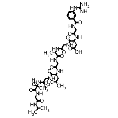 CC(C)C[C@H](NC(=O)CNC(=O)[C@H](C)NC(=O)CNC(=O)[C@H](CC(=O)O)NC(=O)CNC(=O)c1cccc(NC(=N)N)c1)C(=O)NCC(=O)NC(C)(C)C(=O)NCC(=O)NC(C)C